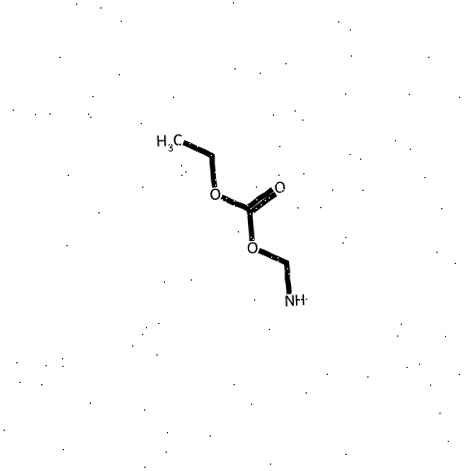 CCOC(=O)OC[NH]